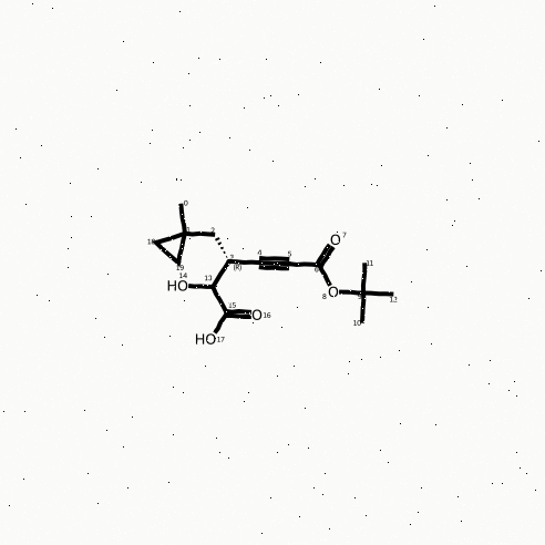 CC1(C[C@H](C#CC(=O)OC(C)(C)C)C(O)C(=O)O)CC1